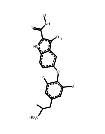 CCNC(=O)c1[nH]c2ccc(Oc3c(Br)cc(CC(F)C(=O)O)cc3Br)cc2c1C